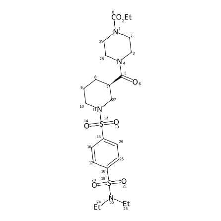 CCOC(=O)N1CCN(C(=O)[C@@H]2CCCN(S(=O)(=O)c3ccc(S(=O)(=O)N(CC)CC)cc3)C2)CC1